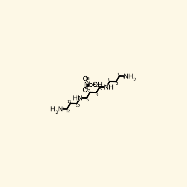 NCCCNCCCCNCCCN.[O]=[Nb](=[O])[OH]